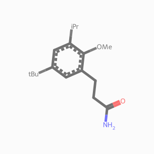 COc1c(CCC(N)=O)cc(C(C)(C)C)cc1C(C)C